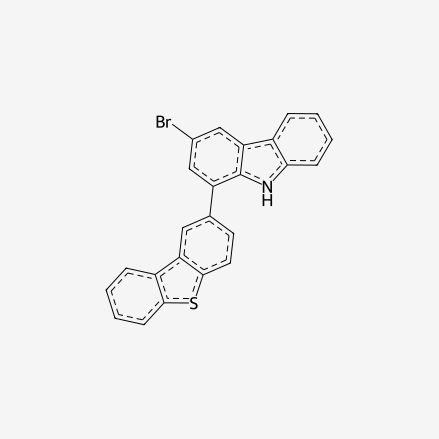 Brc1cc(-c2ccc3sc4ccccc4c3c2)c2[nH]c3ccccc3c2c1